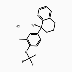 Cc1cc(C2(N)CCOc3cccnc32)ccc1OC(F)(F)F.Cl